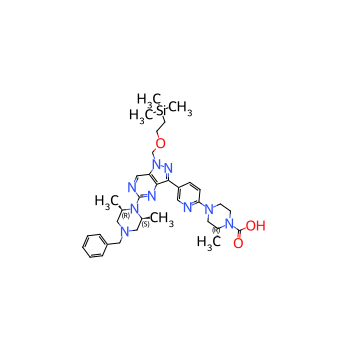 C[C@@H]1CN(c2ccc(-c3nn(COCC[Si](C)(C)C)c4cnc(N5[C@H](C)CN(Cc6ccccc6)C[C@@H]5C)nc34)cn2)CCN1C(=O)O